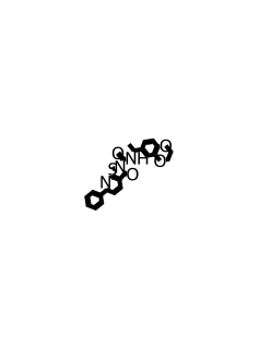 CC(NC(=O)n1sc2nc(-c3ccccc3)ccc2c1=O)c1ccc2c(c1)OCCO2